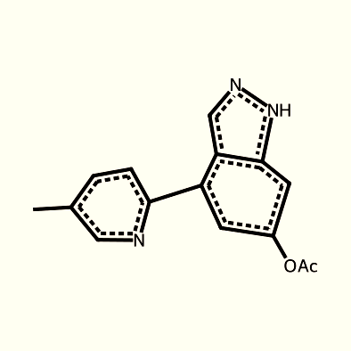 CC(=O)Oc1cc(-c2ccc(C)cn2)c2cn[nH]c2c1